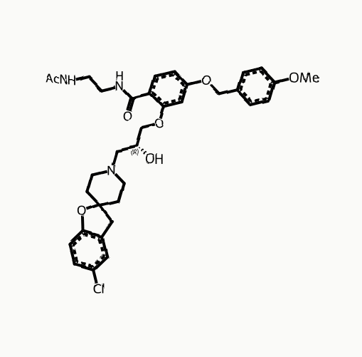 COc1ccc(COc2ccc(C(=O)NCCNC(C)=O)c(OC[C@H](O)CN3CCC4(CC3)Cc3cc(Cl)ccc3O4)c2)cc1